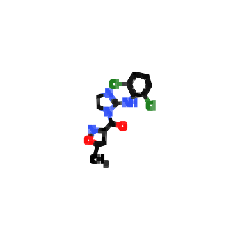 Cc1cc(C(=O)N2CCN=C2Nc2c(Cl)cccc2Cl)no1